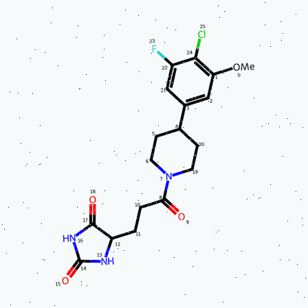 COc1cc(C2CCN(C(=O)CCC3NC(=O)NC3=O)CC2)cc(F)c1Cl